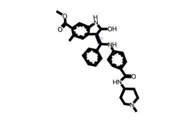 COC(=O)c1cc2c(cc1C)/C(=C(/Nc1ccc(C(=O)NC3CCN(C)CC3)cc1)c1ccccc1)C(O)N2